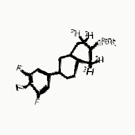 [2H]C1([2H])CC2CC(c3cc(F)c(F)c(F)c3)CCC2C([2H])([2H])C1CCCCC